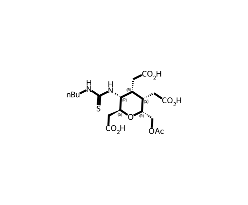 CCCCNC(=S)N[C@@H]1[C@H](CC(=O)O)[C@H](CC(=O)O)[C@H](COC(C)=O)O[C@H]1CC(=O)O